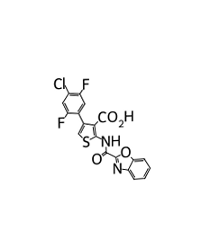 O=C(Nc1scc(-c2cc(F)c(Cl)cc2F)c1C(=O)O)c1nc2ccccc2o1